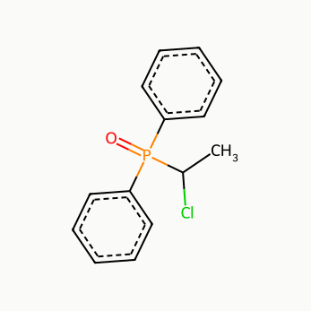 CC(Cl)P(=O)(c1ccccc1)c1ccccc1